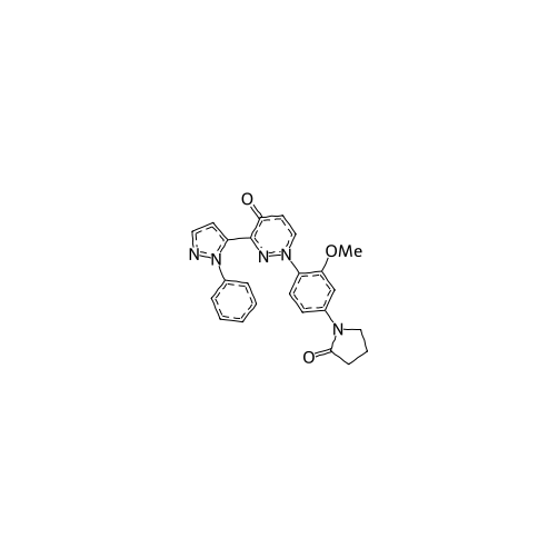 COc1cc(N2CCCC2=O)ccc1-n1ccc(=O)c(-c2ccnn2-c2ccccc2)n1